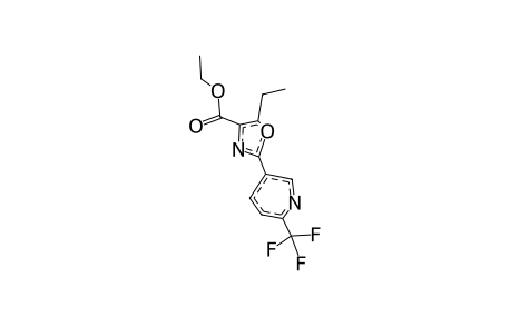 CCOC(=O)c1nc(-c2ccc(C(F)(F)F)nc2)oc1CC